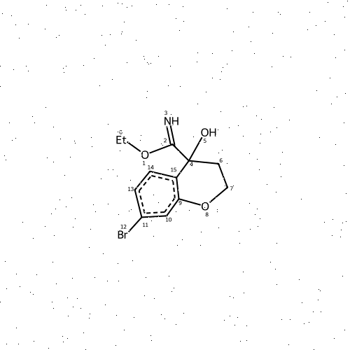 CCOC(=N)C1(O)CCOc2cc(Br)ccc21